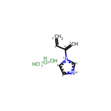 Cl.Cl.Cl.[CH]=C(C=C)n1ccnc1